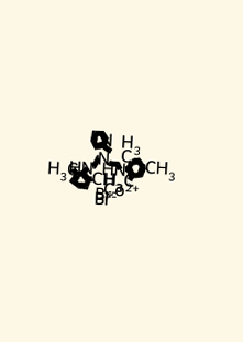 Cc1cc(C)c(NCCN(CCNc2c(C)cccc2C)Cc2ccccn2)c(C)c1.[Br-].[Br-].[Co+2]